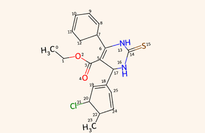 CCOC(=O)C1=C(C2C=CC=CC2)NC(=S)NC1C1=CC(Cl)C(C)C=C1